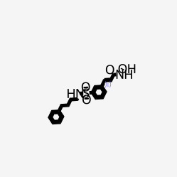 O=C(/C=C/c1cccc(S(=O)(=O)NCCCCc2ccccc2)c1)NO